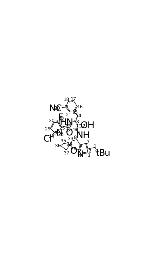 CC(C)(C)Cc1cnc2c(c1)[C@@H](NC[C@@H](O)[C@H](Cc1cccc(C#N)c1)NC(=O)c1nc(Cl)ccc1F)CC1(CCC1)O2